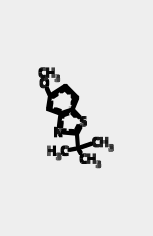 COc1ccc2sc(C(C)(C)C)nc2c1